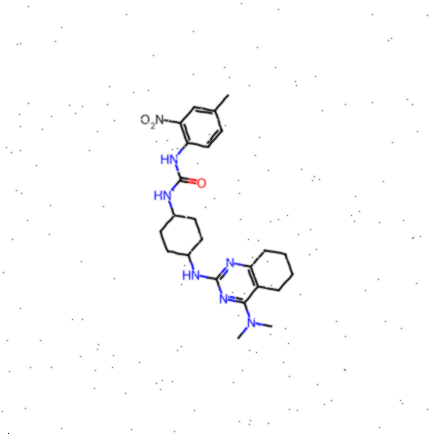 Cc1ccc(NC(=O)NC2CCC(Nc3nc4c(c(N(C)C)n3)CCCC4)CC2)c([N+](=O)[O-])c1